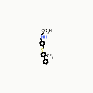 O=C(O)CCNCc1ccc(CSc2ccc(-c3ccccc3)c(C(F)(F)F)c2)cc1